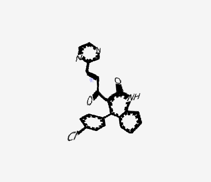 O=C(/C=C/c1cnccn1)c1c(-c2ccc(Cl)cc2)c2ccccc2[nH]c1=O